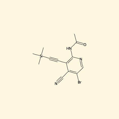 CC(=O)Nc1ncc(Br)c(C#N)c1C#C[Si](C)(C)C